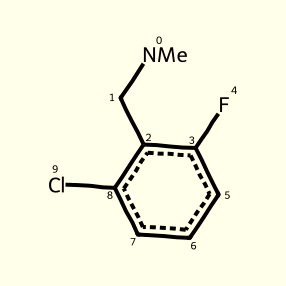 [CH2-][NH2+]Cc1c(F)cccc1Cl